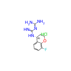 Cl.N=C(N=C(N)N)N[C@@H]1CCOc2c(F)cccc21